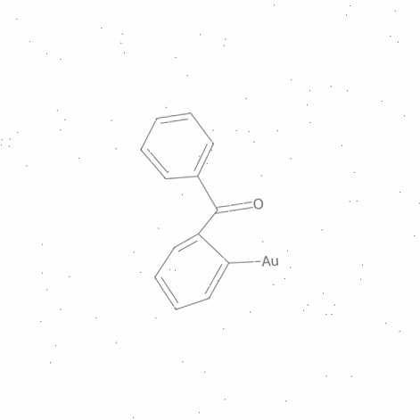 O=C(c1ccccc1)c1cccc[c]1[Au]